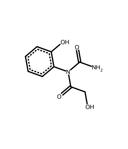 NC(=O)N(C(=O)CO)c1ccccc1O